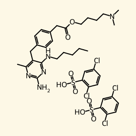 CCCCCNc1nc(N)nc(C)c1Cc1ccc(CC(=O)OCCCCN(C)C)cc1.O=S(=O)(O)c1cc(Cl)ccc1Cl.O=S(=O)(O)c1cc(Cl)ccc1Cl